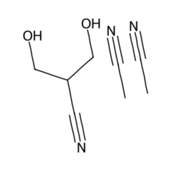 CC#N.CC#N.N#CC(CO)CO